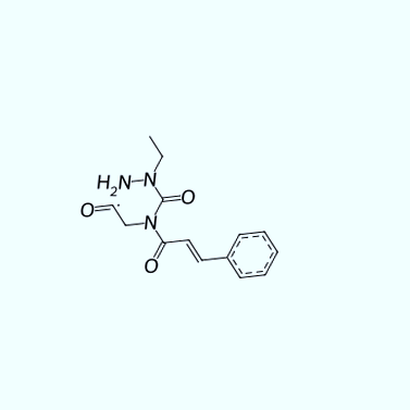 CCN(N)C(=O)N(C[C]=O)C(=O)C=Cc1ccccc1